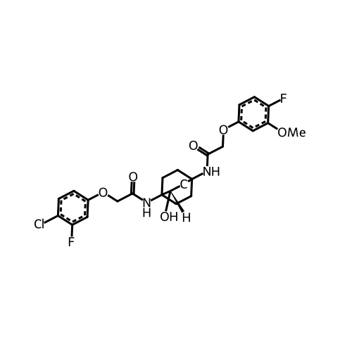 COc1cc(OCC(=O)NC23CCC(NC(=O)COc4ccc(Cl)c(F)c4)(CC2)[C@@H](O)C3)ccc1F